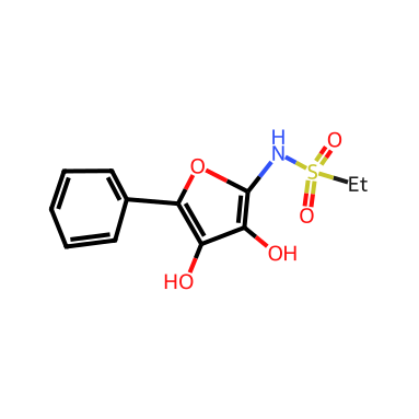 CCS(=O)(=O)Nc1oc(-c2ccccc2)c(O)c1O